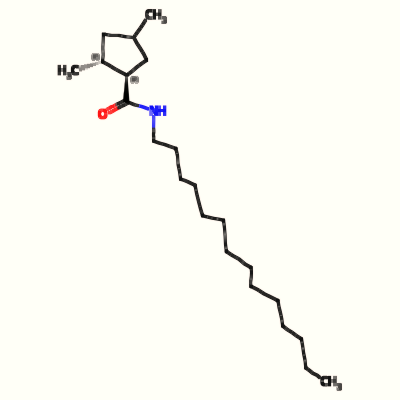 CCCCCCCCCCCCCCNC(=O)[C@@H]1CC(C)C[C@H]1C